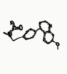 COc1ccc2c(-c3ccc(CN(C)[SH](=O)=O)cc3)ccnc2c1